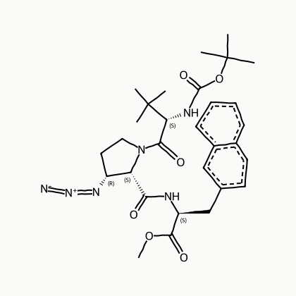 COC(=O)[C@H](Cc1ccc2ccccc2c1)NC(=O)[C@@H]1[C@H](N=[N+]=[N-])CCN1C(=O)[C@@H](NC(=O)OC(C)(C)C)C(C)(C)C